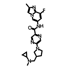 Cc1cn2cc(NC(=O)c3cnc(N4CCC(CN(C)C5CC5)C4)cn3)cc(F)c2n1